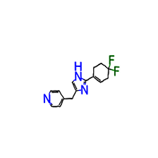 FC1(F)CC=C(c2nc(Cc3ccncc3)c[nH]2)CC1